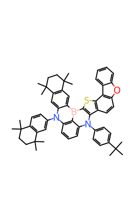 CC(C)(C)c1ccc(N2c3cccc4c3B(c3cc5c(cc3N4c3ccc4c(c3)C(C)(C)CCC4(C)C)C(C)(C)CCC5(C)C)c3sc4c(ccc5oc6ccccc6c54)c32)cc1